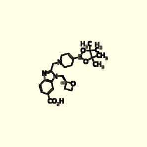 CC1(C)OB(C2=CCN(Cc3nc4ccc(C(=O)O)cc4n3C[C@@H]3CCO3)CC2)OC1(C)C